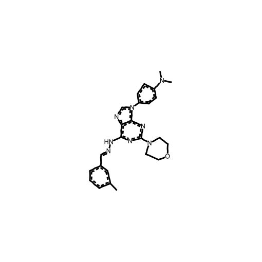 Cc1cccc(/C=N/Nc2nc(N3CCOCC3)nc3c2ncn3-c2ccc(N(C)C)cc2)c1